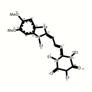 CCC1C(=O)N(CC)C(=S=CC=C2[Te]c3cc(OC)c(OC)cc3N2CC)N(CC)C1=O